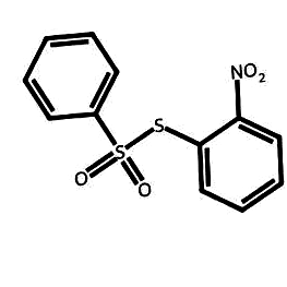 O=[N+]([O-])c1ccccc1SS(=O)(=O)c1ccccc1